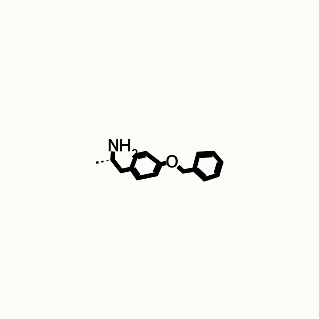 C[C@H](N)Cc1ccc(OCc2ccccc2)cc1